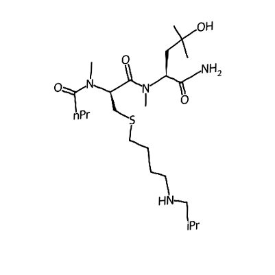 CCCC(=O)N(C)[C@H](CSCCCCNCC(C)C)C(=O)N(C)[C@@H](CC(C)(C)O)C(N)=O